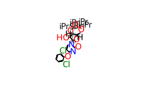 CC(C)[Si]1(C(C)C)OC[C@H]2O[C@@H](n3ccc(Oc4c(Cl)cccc4Cl)nc3=O)[C@H](O)[C@@H]2O[Si](C(C)C)(C(C)C)O1